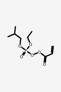 C=CC(=O)OOP(=O)(OCC)OCC(C)C